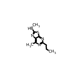 CBc1nc2c(C)nc(CCC)nc2s1